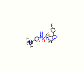 CC(C)n1cnc(-c2ccc(F)cc2)c1-c1nc(C(=O)Nc2ccc(C3C[C@H]4CC[C@@H](C3)N4C)cn2)cs1